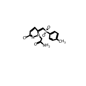 Cc1ccc(S(=O)(=O)C=C2C=CC(Cl)=NN2CC(N)=O)cc1